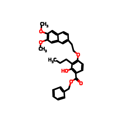 CCCc1c(OCCc2ccc3cc(OC)c(OC)cc3c2)ccc(C(=O)OCc2ccccc2)c1O